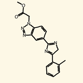 COC(=O)Cn1nnc2cc(C3=NCC(c4ccccc4C)=N3)ccc21